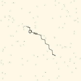 [CH2]COC#CCCCCCCCCC